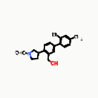 CCc1cc(C)ccc1-c1ccc(C2CCN(C=O)C2)c(CO)c1